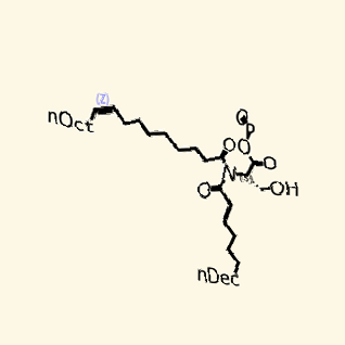 CCCCCCCC/C=C\CCCCCCCC(=O)N(C(=O)CCCCCCCCCCCCCCC)[C@@H](CO)C(=O)OP=O